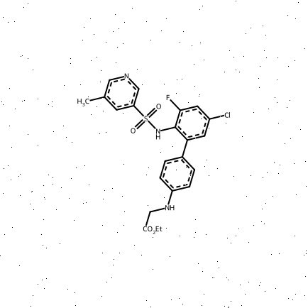 CCOC(=O)CNc1ccc(-c2cc(Cl)cc(F)c2NS(=O)(=O)c2cncc(C)c2)cc1